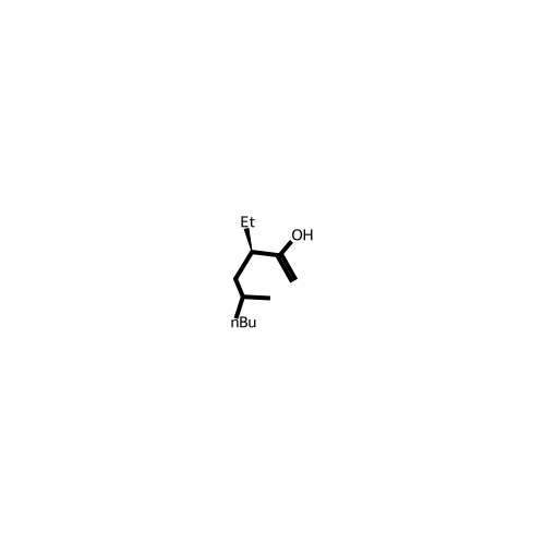 C=C(O)[C@H](CC)CC(C)CCCC